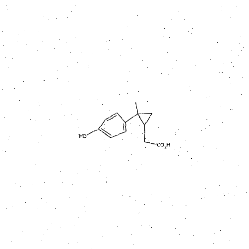 CC1(c2ccc(O)cc2)CC1CC(=O)O